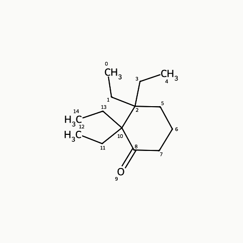 CCC1(CC)CCCC(=O)C1(CC)CC